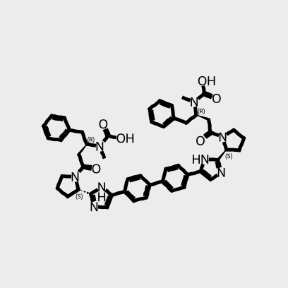 CN(C(=O)O)[C@@H](CC(=O)N1CCC[C@H]1c1ncc(-c2ccc(-c3ccc(-c4cnc([C@@H]5CCCN5C(=O)C[C@@H](Cc5ccccc5)N(C)C(=O)O)[nH]4)cc3)cc2)[nH]1)Cc1ccccc1